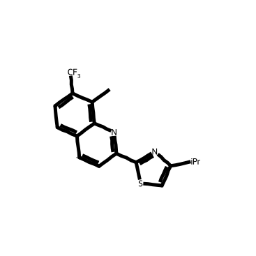 Cc1c(C(F)(F)F)ccc2[c]cc(-c3nc(C(C)C)cs3)nc12